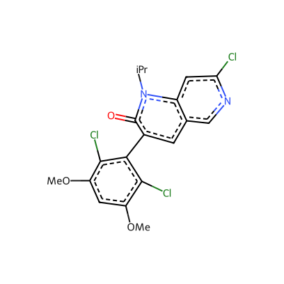 COc1cc(OC)c(Cl)c(-c2cc3cnc(Cl)cc3n(C(C)C)c2=O)c1Cl